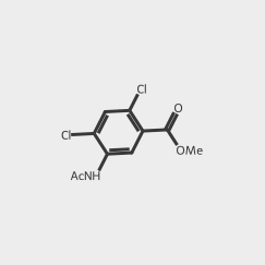 COC(=O)c1cc(NC(C)=O)c(Cl)cc1Cl